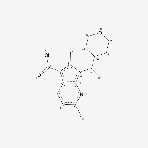 Cc1c(C(=O)O)c2cnc(Cl)nc2n1C(C)C1CCOCC1